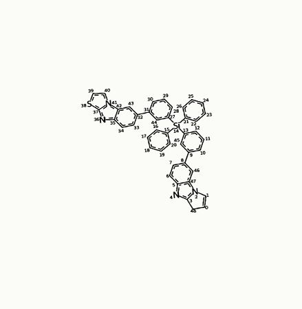 C1=Cn2c(nc3ccc(-c4cccc([Si](c5ccccc5)(c5ccccc5)c5cccc(-c6ccc7nc8sccn8c7c6)c5)c4)cc32)C1